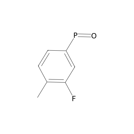 Cc1ccc(P=O)cc1F